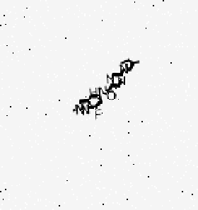 CC1CCN(c2cnc(C(=O)Nc3cc(F)c4nn(C)cc4c3)cn2)C1